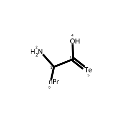 CCCC(N)C(O)=[Te]